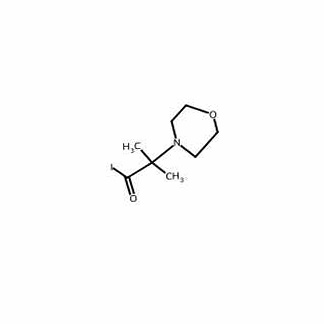 CC(C)(C(=O)I)N1CCOCC1